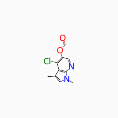 Cc1cn(C)c2ncc(OC=O)c(Cl)c12